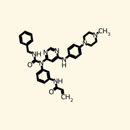 C=CC(=O)Nc1cccc(N(C(=O)NCc2ccccc2)c2cc(Nc3ccc(N4CCN(C)CC4)cc3)ncn2)c1